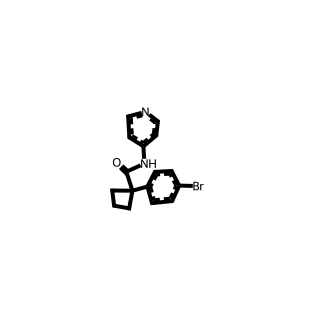 O=C(Nc1ccncc1)C1(c2ccc(Br)cc2)CCC1